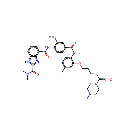 COc1cc(C(=O)N(C)c2ccc(C)cc2OCCCCC(=C=O)N2CCN(C)CC2)ccc1NC(=O)c1cccc2[nH]c(C(=O)N(C)C)nc12